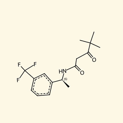 C[C@H](NC(=O)CC(=O)C(C)(C)C)c1cccc(C(F)(F)F)c1